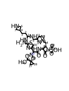 N=C(CCC1CNC1)NCc1cnn(C[C@@H]2[C@H](NC(=O)/C(=N\OC3(C(=O)O)CC3)c3csc(N)n3)C(=O)N2S(=O)(=O)O)n1